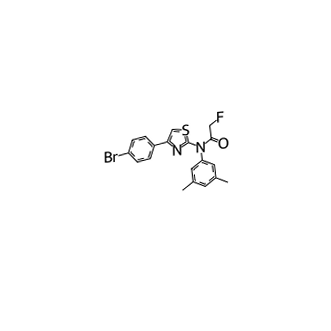 Cc1cc(C)cc(N(C(=O)CF)c2nc(-c3ccc(Br)cc3)cs2)c1